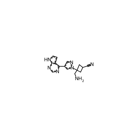 N#CC1CC(CN)(n2cc(-c3ncnc4[nH]ccc34)cn2)C1